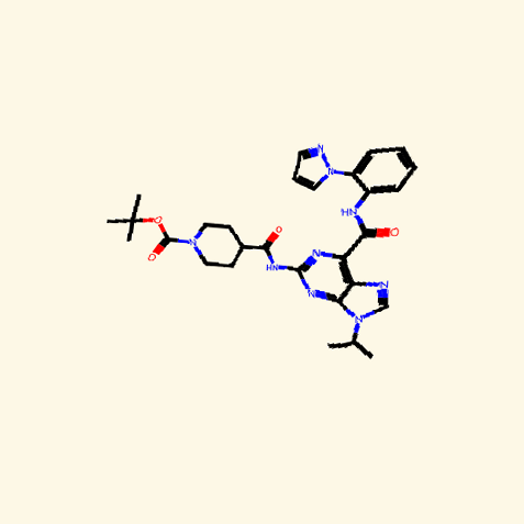 CC(C)n1cnc2c(C(=O)Nc3ccccc3-n3cccn3)nc(NC(=O)C3CCN(C(=O)OC(C)(C)C)CC3)nc21